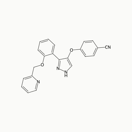 N#Cc1ccc(Oc2c[nH]nc2-c2ccccc2OCc2ccccn2)cc1